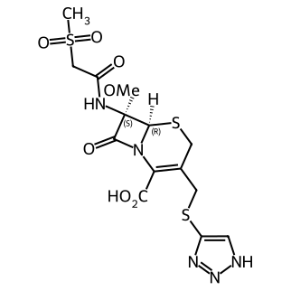 CO[C@@]1(NC(=O)CS(C)(=O)=O)C(=O)N2C(C(=O)O)=C(CSc3c[nH]nn3)CS[C@@H]21